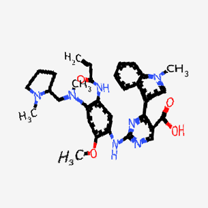 C=CC(=O)Nc1cc(Nc2ncc(C(=O)O)c(-c3cn(C)c4ccccc34)n2)c(OC)cc1N(C)CC1CCCN1C